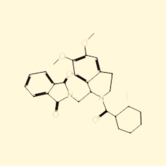 COc1cc2c(cc1OC)C(CN1C(=O)c3ccccc3C1=O)N(C(=O)C1CCCC[C@H]1C)CC2